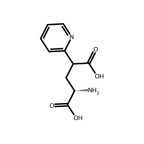 N[C@@H](CC(C(=O)O)c1ccccn1)C(=O)O